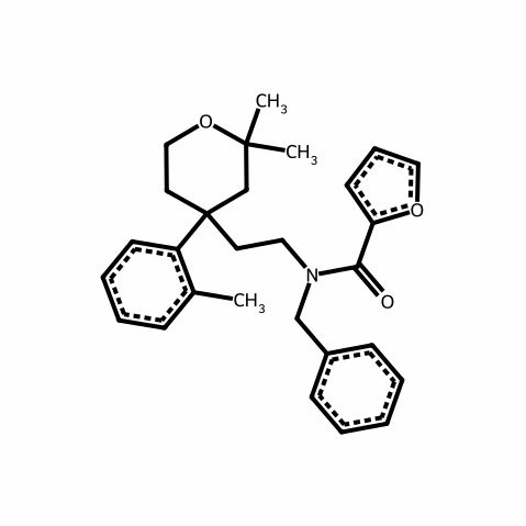 Cc1ccccc1C1(CCN(Cc2ccccc2)C(=O)c2ccco2)CCOC(C)(C)C1